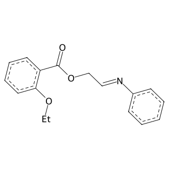 CCOc1ccccc1C(=O)OCC=Nc1ccccc1